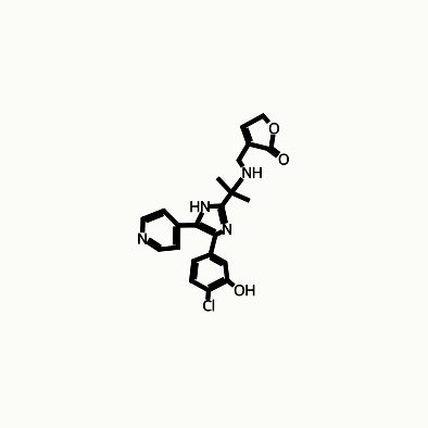 CC(C)(NCC1=CCOC1=O)c1nc(-c2ccc(Cl)c(O)c2)c(-c2ccncc2)[nH]1